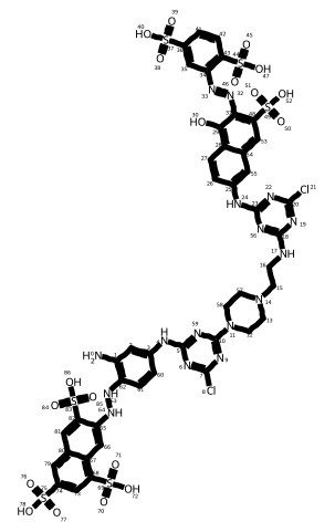 Nc1cc(Nc2nc(Cl)nc(N3CCN(CCNc4nc(Cl)nc(Nc5ccc6c(O)c(/N=N/c7cc(S(=O)(=O)O)ccc7S(=O)(=O)O)c(S(=O)(=O)O)cc6c5)n4)CC3)n2)ccc1NNc1cc2c(S(=O)(=O)O)cc(S(=O)(=O)O)cc2cc1S(=O)(=O)O